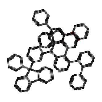 c1ccc(-c2cc(-c3ccccc3)cc(N(c3cccc(C4(c5ccccc5)c5ccccc5-c5ccccc54)c3)c3cccc(-c4ccccc4-c4ccccc4)c3-c3cccc4sc5ccccc5c34)c2)cc1